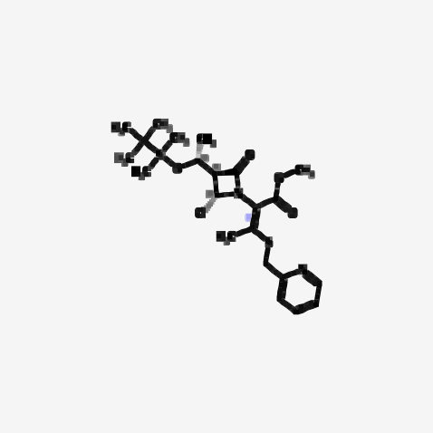 COC(=O)/C(=C(/C)SCc1ccccn1)N1C(=O)[C@H]([C@@H](C)O[Si](C)(C)C(C)(C)C)[C@H]1Cl